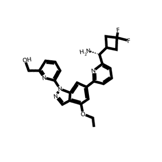 CCOc1cc(-c2cccc([C@H](N)C3CC(F)(F)C3)n2)cc2c1cnn2-c1cccc(CO)n1